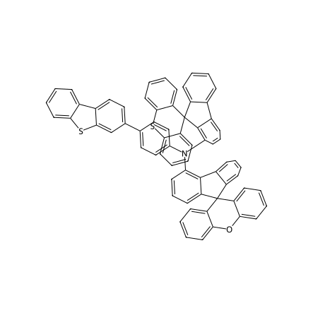 c1ccc2c(c1)Oc1ccccc1C21c2ccccc2-c2c(N(c3ccc(-c4ccc5c(c4)sc4ccccc45)cc3)c3cccc4c3C3(c5ccccc5Sc5ccccc53)c3ccccc3-4)cccc21